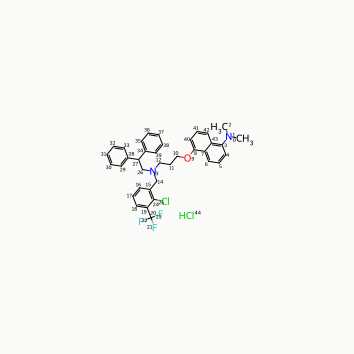 CN(C)c1cccc2c(OCCCN(Cc3cccc(C(F)(F)F)c3Cl)CC(c3ccccc3)c3ccccc3)cccc12.Cl